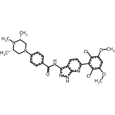 COc1cc(OC)c(Cl)c(-c2ccc3c(NC(=O)c4ccc(N5C[C@@H](C)N(C)[C@@H](C)C5)cc4)n[nH]c3n2)c1Cl